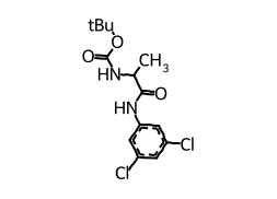 CC(NC(=O)OC(C)(C)C)C(=O)Nc1cc(Cl)cc(Cl)c1